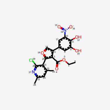 CCOC(=O)c1c(-c2cc(O)c(O)c([N+](=O)[O-])c2)coc1-c1c(C)cc(C)nc1Cl